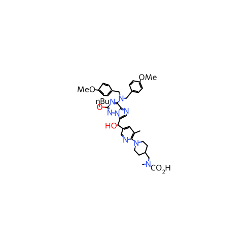 CCCCOc1nc(N(Cc2ccc(OC)cc2)Cc2ccc(OC)cc2)c2ncc(C(O)c3cnc(N4CCC(CN(C)C(=O)O)CC4)c(C)c3)n2n1